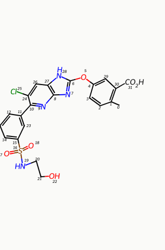 Cc1ccc(Oc2nc3nc(-c4cccc(S(=O)(=O)NCCO)c4)c(Cl)cc3[nH]2)cc1C(=O)O